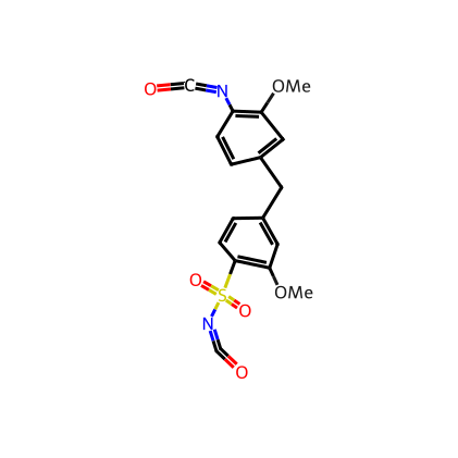 COc1cc(Cc2ccc(S(=O)(=O)N=C=O)c(OC)c2)ccc1N=C=O